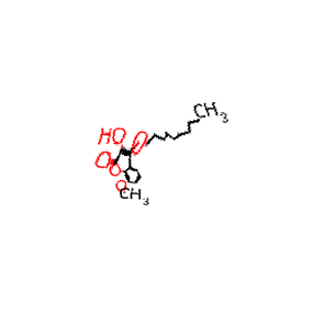 CCCCCCCCCCOc1c(O)c(=O)oc2c(OC)cccc12